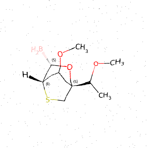 B[C@@H]1O[C@]2(C(C)OC)CS[C@H]1C2OC